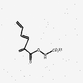 C=CC=CC(=C)C(=O)ONC(=O)OCC